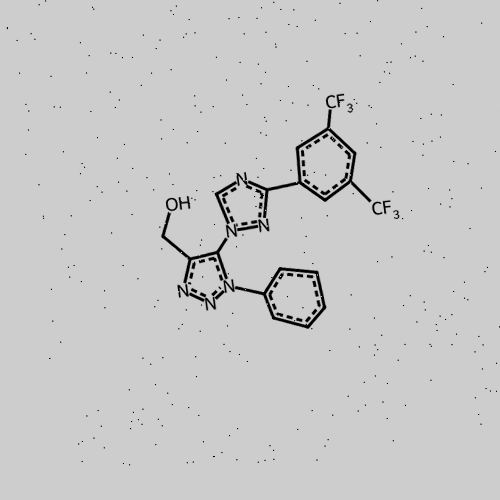 OCc1nnn(-c2ccccc2)c1-n1cnc(-c2cc(C(F)(F)F)cc(C(F)(F)F)c2)n1